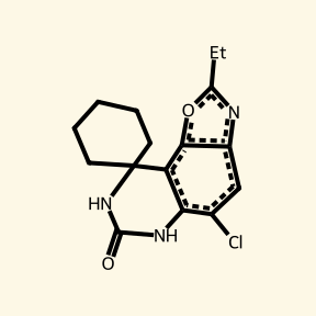 CCc1nc2cc(Cl)c3c(c2o1)C1(CCCCC1)NC(=O)N3